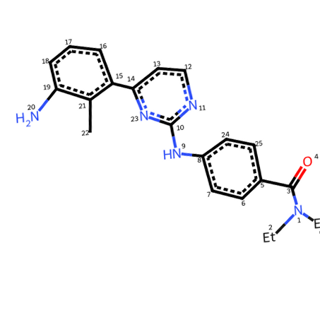 CCN(CC)C(=O)c1ccc(Nc2nccc(-c3cccc(N)c3C)n2)cc1